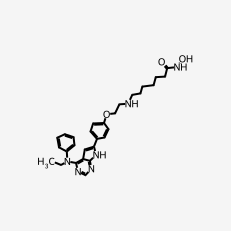 CCN(c1ccccc1)c1ncnc2[nH]c(-c3ccc(OCCNCCCCCCC(=O)NO)cc3)cc12